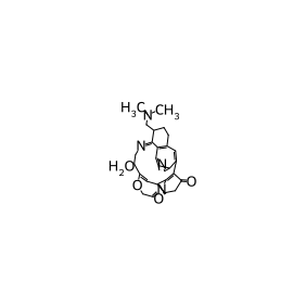 CN(C)CC1CCc2cc3c4cncc-4cc2/C1=N\CC/C1=C/C2C(=O)CC(=O)C3=C2/N=C\CO1.O